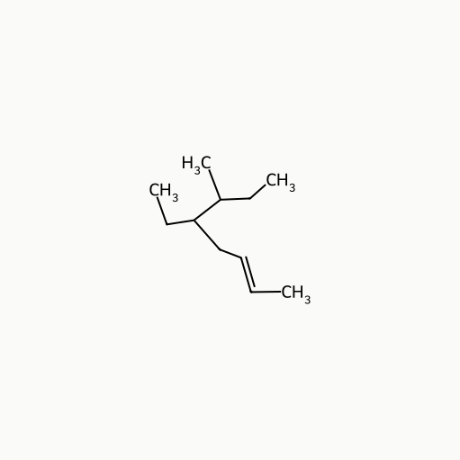 CC=CCC(CC)C(C)CC